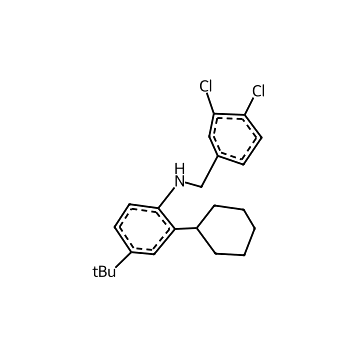 CC(C)(C)c1ccc(NCc2ccc(Cl)c(Cl)c2)c(C2CCCCC2)c1